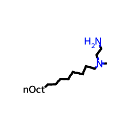 CCCCCCCCCCCCCCCCN(C)CCN